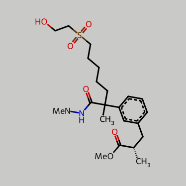 CNNC(=O)C(C)(CCCCCS(=O)(=O)CCO)c1cccc(C[C@H](C)C(=O)OC)c1